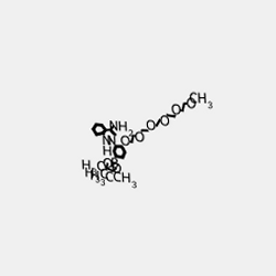 COCCOCCOCCOCCOCCOc1ccc(B2OC(C)(C)C(C)(C)O2)cc1N1C=C(N)c2ccccc2N1